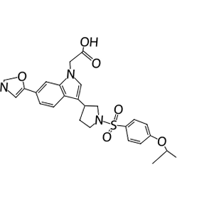 CC(C)Oc1ccc(S(=O)(=O)N2CCC(c3cn(CC(=O)O)c4cc(-c5cnco5)ccc34)C2)cc1